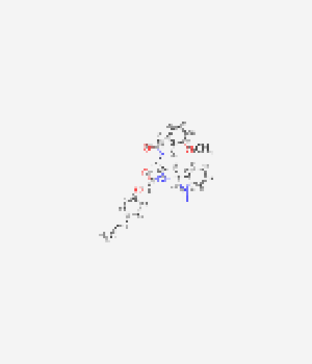 CCCc1ccc(OCC(=O)NC(Cc2c[nH]c3ccccc23)CN(Cc2ccccc2OC)C(C)=O)cc1